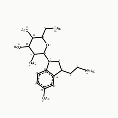 CC(=O)NCCC1CN(C2OC(COC(C)=O)C(OC(C)=O)C(OC(C)=O)C2OC(C)=O)c2ccc(OC(C)=O)cc21